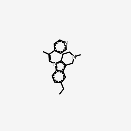 CCc1ccc2c(c1)c1c(n2/C=C(/C)c2ccncc2)CCN(C)C1